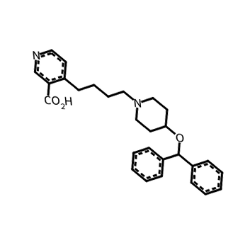 O=C(O)c1cnccc1CCCCN1CCC(OC(c2ccccc2)c2ccccc2)CC1